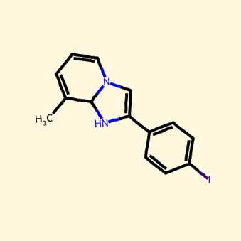 CC1=CC=CN2C=C(c3ccc(I)cc3)NC12